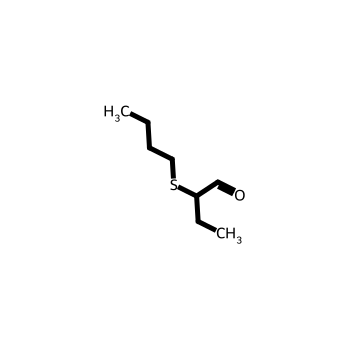 CCCCSC(C=O)CC